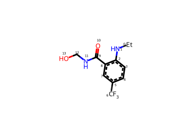 CCNc1ccc(C(F)(F)F)cc1C(=O)NCO